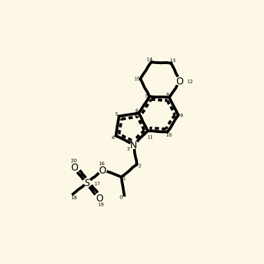 CC(Cn1ccc2c3c(ccc21)OCCC3)OS(C)(=O)=O